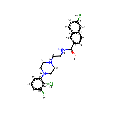 O=C(NCCN1CCN(c2cccc(Cl)c2Cl)CC1)c1ccc2cc(Br)ccc2c1